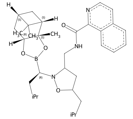 CC(C)CC1CC(CNC(=O)c2nccc3ccccc23)N([C@@H](CC(C)C)B2O[C@@H]3C[C@@H]4C[C@@H](C4(C)C)[C@]3(C)O2)O1